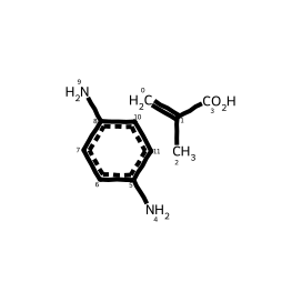 C=C(C)C(=O)O.Nc1ccc(N)cc1